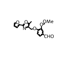 COCOc1cc(C=O)ccc1OCc1nc(-c2ccco2)oc1C